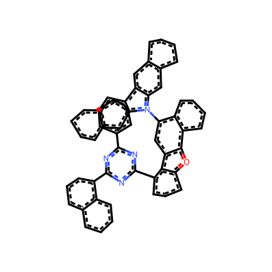 c1ccc(-c2nc(-c3cccc4ccccc34)nc(-c3cccc4oc5c6ccccc6c(-n6c7cc8ccccc8cc7c7cc8ccccc8cc76)cc5c34)n2)cc1